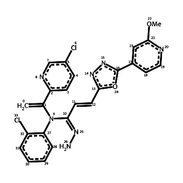 C=C(c1ccc(Cl)cn1)N(C(/C=C/c1nnc(-c2ccnc(OC)c2)o1)=N\N)c1ccccc1Cl